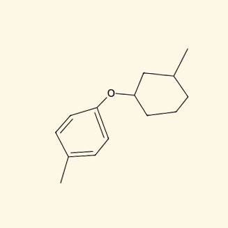 Cc1ccc(OC2CCCC(C)C2)cc1